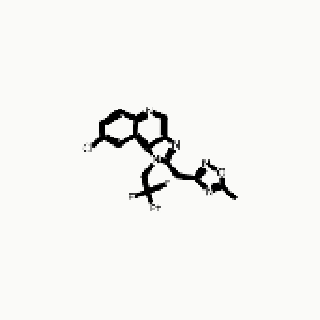 CCC(F)(F)Cn1c(Cc2noc(C)n2)nc2cnc3ccc(Cl)cc3c21